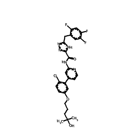 CC(C)(O)CCCOc1ccc(Cl)c(-c2ccnc(NC(=O)c3nnc(Cc4cc(F)c(F)cc4F)[nH]3)c2)c1